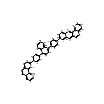 c1cnc2c(c1)ccc1ccc(-c3ccc(-c4ccc(-c5ccc(-c6ccc7nc8c(ccc9cccnc98)cc7c6)cc5)c5ccccc45)cc3)nc12